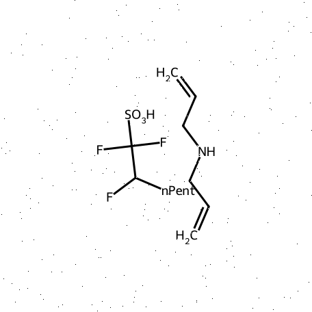 C=CCNCC=C.CCCCCC(F)C(F)(F)S(=O)(=O)O